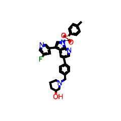 Cc1ccc(S(=O)(=O)n2cc(-c3cncc(F)c3)c3cc(-c4ccc(CN5CCCC(O)C5)cc4)cnc32)cc1